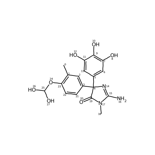 Cc1cc(C2(c3cc(O)c(O)c(O)c3)N=C(N)N(C)C2=O)ccc1OC(O)O